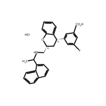 CC(NC[C@H]1C[C@@H](c2cc(F)cc(C(=O)O)c2)c2ccccc2O1)c1cccc2ccccc12.Cl